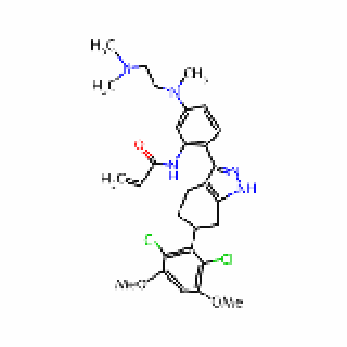 C=CC(=O)Nc1cc(N(C)CCN(C)C)ccc1-c1n[nH]c2c1CCC(c1c(Cl)c(OC)cc(OC)c1Cl)C2